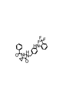 O=C(NC1(C(=O)NCc2ccc(Nc3ccccc3C(F)(F)F)cc2)CC1)c1ccccc1